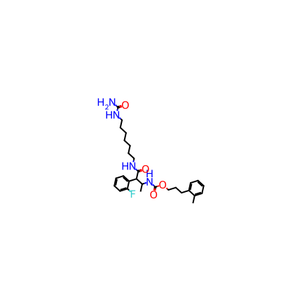 Cc1ccccc1CCCOC(=O)NC(C)C(C(=O)NCCCCCCCNC(N)=O)c1ccccc1F